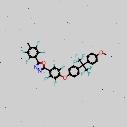 COc1ccc(C(c2ccc(Oc3c(F)c(F)c(-c4nnc(-c5c(F)c(F)c(C)c(F)c5F)o4)c(F)c3F)cc2)(C(F)(F)F)C(F)(F)F)cc1